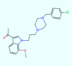 COc1cccc2c(C(C)=O)cn(CCCN3CCN(Cc4ccc(Cl)cc4)CC3)c12